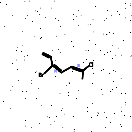 C=C/C(Br)=C\C=C(/C)Cl